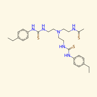 CCc1ccc(NC(=S)NCCN(CCNC(C)=S)CCNC(=S)Nc2ccc(CC)cc2)cc1